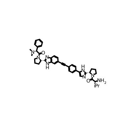 CC(C)[C@H](N)C(=O)N1CCC[C@H]1c1ncc(-c2ccc(C#Cc3ccc4nc([C@@H]5CCCN5C(=O)[C@@H](c5ccccc5)N(C)C)[nH]c4c3)cc2)[nH]1